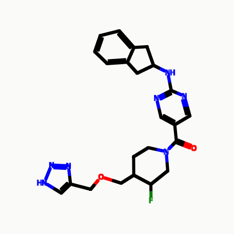 O=C(c1cnc(NC2Cc3ccccc3C2)nc1)N1CCC(COCc2c[nH]nn2)C(F)C1